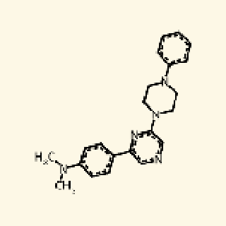 CN(C)c1ccc(-c2cncc(N3CCN(c4ccccc4)CC3)n2)cc1